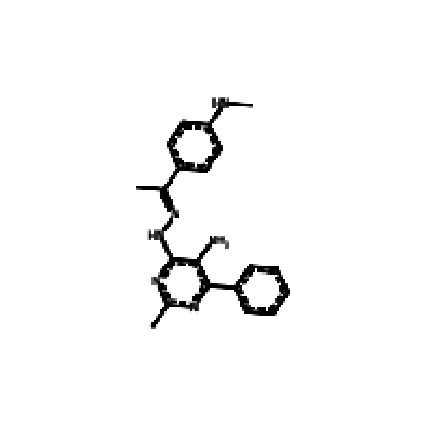 CNc1ccc(C(C)=NNc2nc(C)nc(-c3ccccc3)c2N)cc1